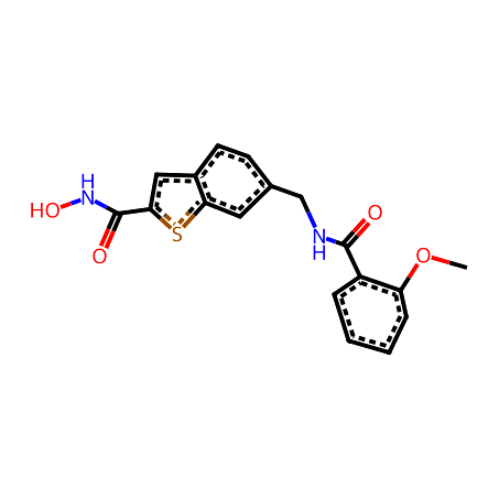 COc1ccccc1C(=O)NCc1ccc2cc(C(=O)NO)sc2c1